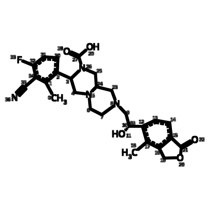 Cc1c(C2CN3CCN(C[C@@H](O)c4ccc5c(c4C)COC5=O)CC3CN2C(=O)O)ccc(F)c1C#N